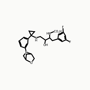 O=C(O)NC(Cc1cc(F)cc(F)c1)C(O)CNC1(c2cccc(N3CC4CC3CO4)c2)CC1